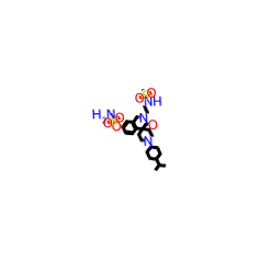 CC(C)C1CCC(N2CCC3(CC2)C(=O)N(CCNS(C)(=O)=O)Cc2cc(OS(N)(=O)=O)ccc23)CC1